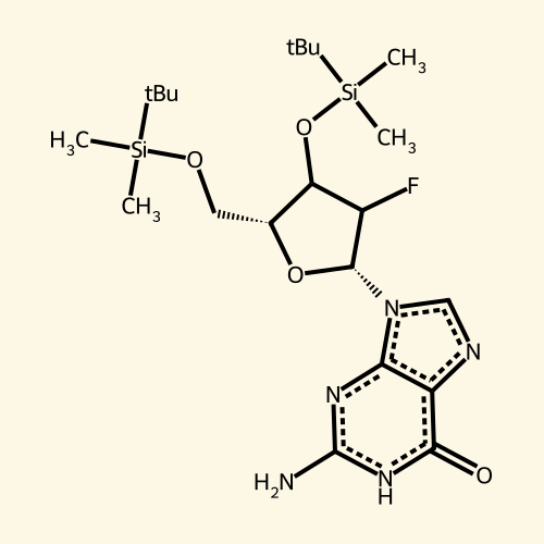 CC(C)(C)[Si](C)(C)OC[C@H]1O[C@@H](n2cnc3c(=O)[nH]c(N)nc32)C(F)C1O[Si](C)(C)C(C)(C)C